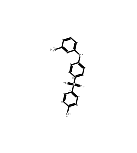 Nc1cccc(Oc2ccc(S(=O)(=O)c3ccc(O)cc3)cc2)c1